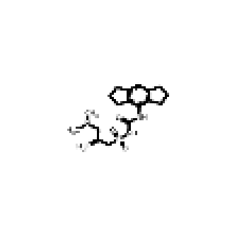 C=C(CN(C)C)CS(=O)(=O)NC(=O)Nc1c2c(cc3c1CCC3)CCC2